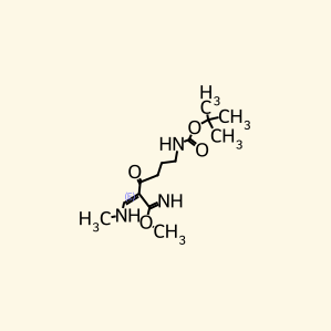 CN/C=C(\C(=N)OC)C(=O)CCCNC(=O)OC(C)(C)C